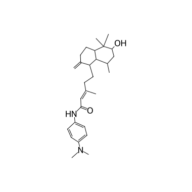 C=C1CCC2C(C(C)CC(O)C2(C)C)C1CC/C(C)=C/C(=O)Nc1ccc(N(C)C)cc1